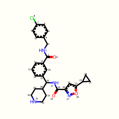 O=C(NCc1ccc(Cl)cc1)c1cccc(C(NC(=O)c2cc(C3CC3)on2)C2CCNCC2)c1